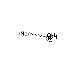 CCCCCCCCCCCCCCC=CC=COP(=O)(O)O